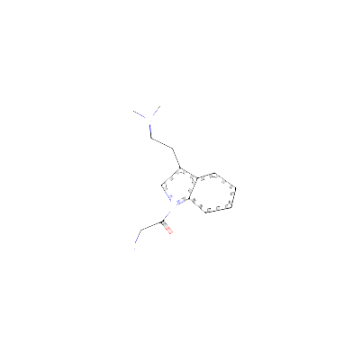 CN(C)CCc1cn(C(=O)CN)c2ccccc12